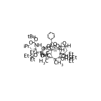 CC[Si](CC)(CC)O[C@H]1C[C@H]2OC[C@@]2(OC(C)=O)[C@H]2[C@H](OC(=O)c3ccccc3)[C@]3(O)C[C@H](OC(=O)[C@H](O[Si](CC)(CC)CC)[C@H](CC(C)C)NC(=O)OC(C)(C)C)C(C)=C([C@H](C)[C@H](O)[C@]12C)C3(C)C